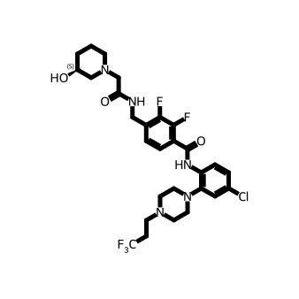 O=C(CN1CCC[C@H](O)C1)NCc1ccc(C(=O)Nc2ccc(Cl)cc2N2CCN(CCC(F)(F)F)CC2)c(F)c1F